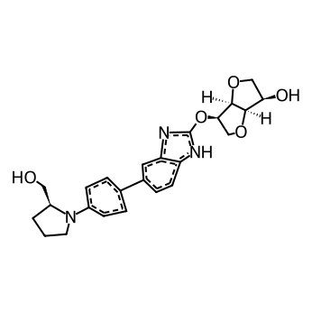 OC[C@@H]1CCCN1c1ccc(-c2ccc3[nH]c(O[C@@H]4CO[C@H]5[C@@H]4OC[C@H]5O)nc3c2)cc1